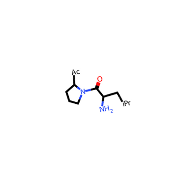 CC(=O)C1CCCN1C(=O)C(N)CC(C)C